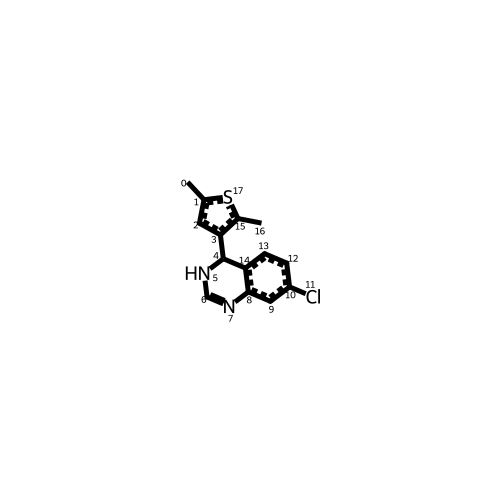 Cc1cc(C2NC=Nc3cc(Cl)ccc32)c(C)s1